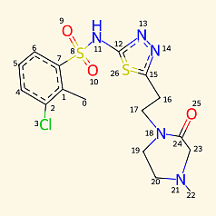 Cc1c(Cl)cccc1S(=O)(=O)Nc1nnc(CCN2CCN(C)CC2=O)s1